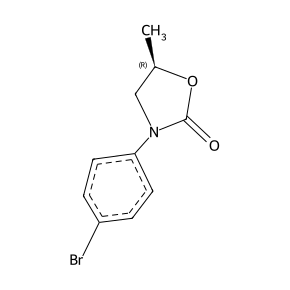 C[C@@H]1CN(c2ccc(Br)cc2)C(=O)O1